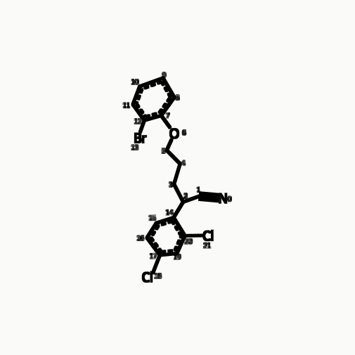 N#CC(CCCOc1ccccc1Br)c1ccc(Cl)cc1Cl